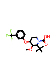 COC1C(Oc2cccc(C(F)(F)F)c2)CCN(C(=O)O)C1C(C)(C)C